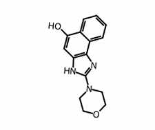 Oc1cc2[nH]c(N3CCOCC3)nc2c2ccccc12